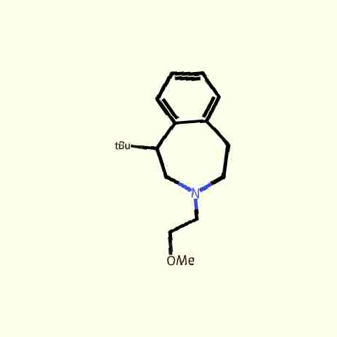 COCCN1CCc2ccccc2C(C(C)(C)C)C1